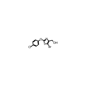 OCc1nc(Oc2ccc(Cl)cc2)sc1Br